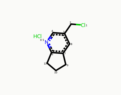 Cl.ClCc1cnc2c(c1)CCC2